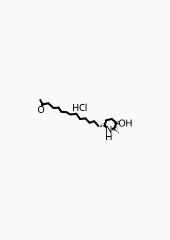 CC(=O)CCCCCCCCCCCC[C@@H]1CC[C@H](O)[C@H](C)N1.Cl